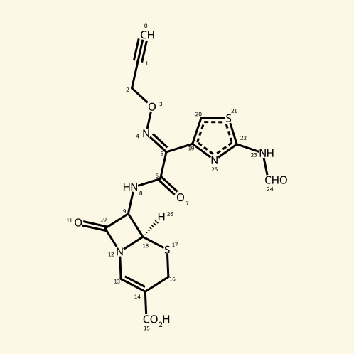 C#CCON=C(C(=O)NC1C(=O)N2C=C(C(=O)O)CS[C@H]12)c1csc(NC=O)n1